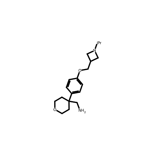 CC(C)N1CC(COc2ccc(C3(CN)CCOCC3)cc2)C1